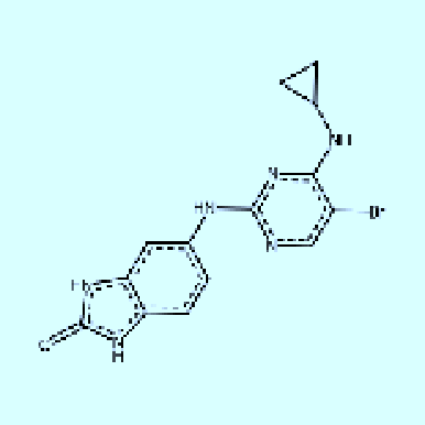 O=c1[nH]c2ccc(Nc3ncc(Br)c(NC4CC4)n3)cc2[nH]1